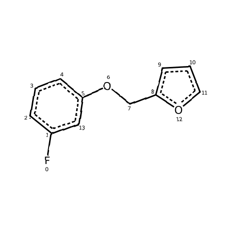 Fc1[c]ccc(OCc2ccco2)c1